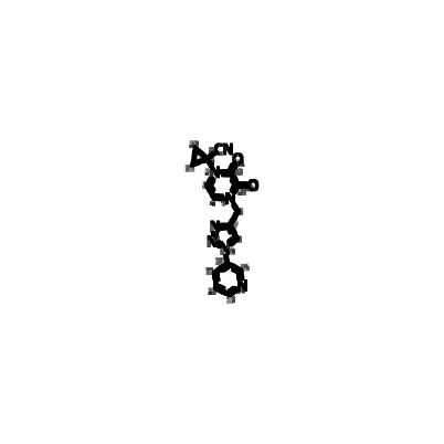 N#CC1(n2ccn(Cc3cn(-c4cccnc4)nn3)c(=O)c2=O)CC1